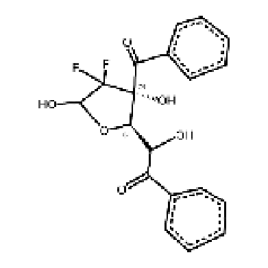 O=C(c1ccccc1)C(O)[C@H]1OC(O)C(F)(F)[C@@]1(O)C(=O)c1ccccc1